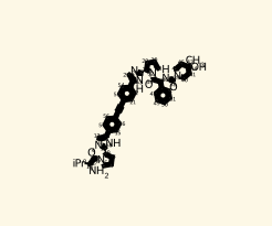 CC(C)[C@H](N)C(=O)N1CCC[C@H]1c1ncc(-c2ccc(C#Cc3ccc(-c4cnc([C@@H]5CCCN5C(=O)[C@H](NC(=O)N5CCC(C)(O)CC5)c5ccccc5)[nH]4)cc3)cc2)[nH]1